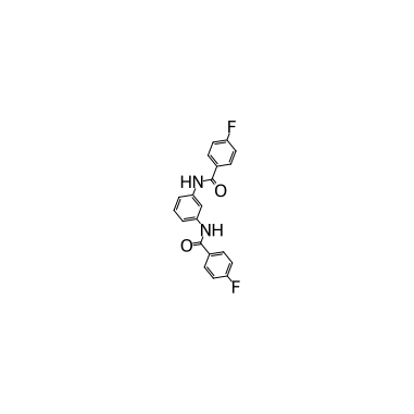 O=C(Nc1cccc(NC(=O)c2ccc(F)cc2)c1)c1ccc(F)cc1